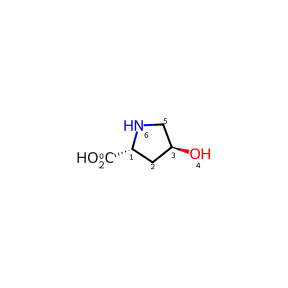 O=C(O)[C@H]1C[C@H](O)CN1